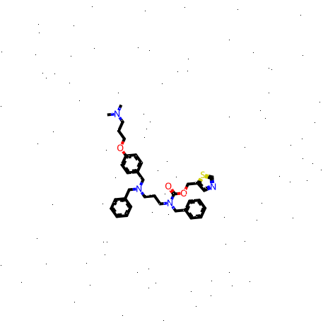 CN(C)CCCOc1ccc(CN(CCCN(Cc2ccccc2)C(=O)OCc2cncs2)Cc2ccccc2)cc1